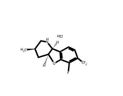 C[C@H]1CN[C@H]2c3ccc(C(F)(F)F)c(F)c3O[C@H]2C1.Cl